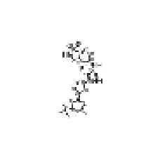 Cc1cc(C(C)(C)C)cc(C2CCC(c3cc(Nc4ccc5c(c4F)CNS5(=O)=O)n[nH]3)C2)n1